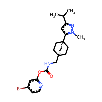 CC(C)c1cc(C23CCC(CNC(=O)Oc4cc(Br)ccn4)(CC2)CC3)n(C)n1